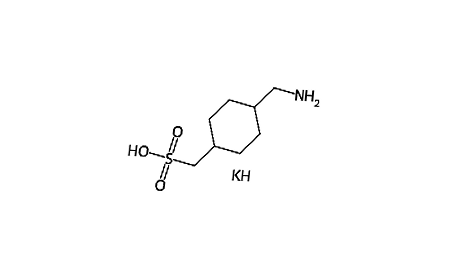 NCC1CCC(CS(=O)(=O)O)CC1.[KH]